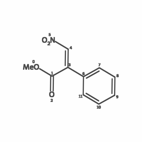 COC(=O)C(=C[N+](=O)[O-])c1ccccc1